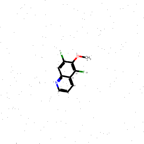 COc1c(F)cc2ncccc2c1F